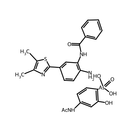 CC(=O)Nc1ccc([As](=O)(O)O)c(O)c1.Cc1nc(-c2ccc(N)c(NC(=O)c3ccccc3)c2)sc1C